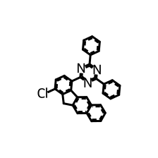 Clc1ccc(-c2nc(-c3ccccc3)nc(-c3ccccc3)n2)c2c1Cc1cc3ccccc3cc1-2